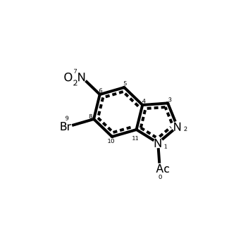 CC(=O)n1ncc2cc([N+](=O)[O-])c(Br)cc21